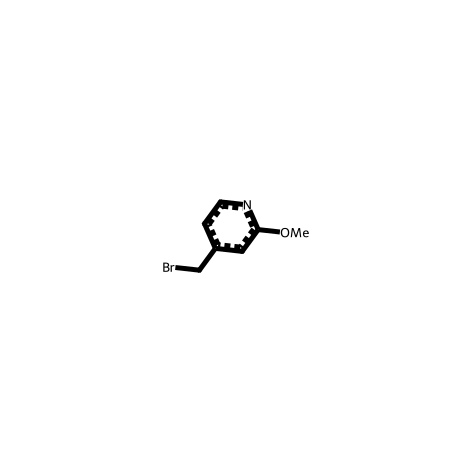 COc1cc(CBr)ccn1